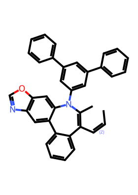 C/C=C\C1=C(C)N(c2cc(-c3ccccc3)cc(-c3ccccc3)c2)c2cc3ocnc3cc2-c2ccccc21